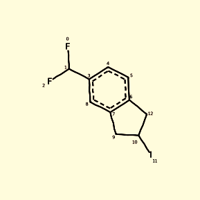 FC(F)c1ccc2c(c1)CC(I)C2